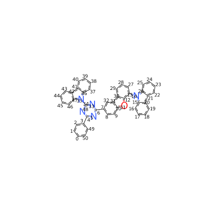 c1ccc(-c2nc(-c3ccc4oc5c(-n6c7ccccc7c7ccccc76)cccc5c4c3)nc(-n3c4ccccc4c4ccccc43)n2)cc1